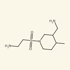 CC1CCN(S(=O)(=O)CCN)CC1CN